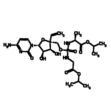 C=C[C@]1(COP(=O)(NCC(=O)OC(C)C)N[C@@H](C)C(=O)OC(C)C)O[C@@H](n2ccc(N)nc2=O)[C@H](O)[C@@H]1O